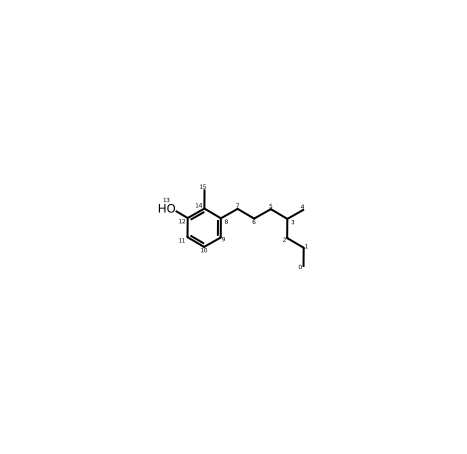 CCCC(C)CCCc1cccc(O)c1C